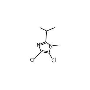 CC(C)c1nc(Cl)c(Cl)n1C